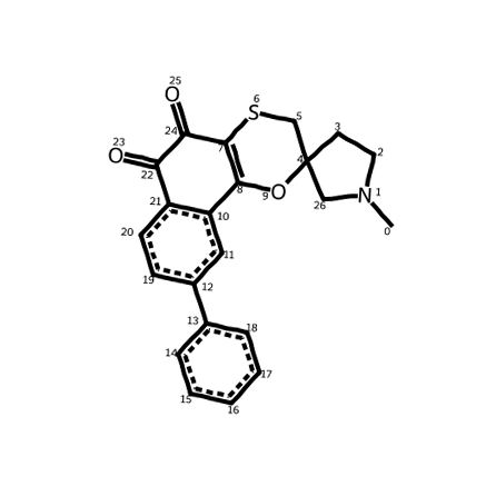 CN1CCC2(CSC3=C(O2)c2cc(-c4ccccc4)ccc2C(=O)C3=O)C1